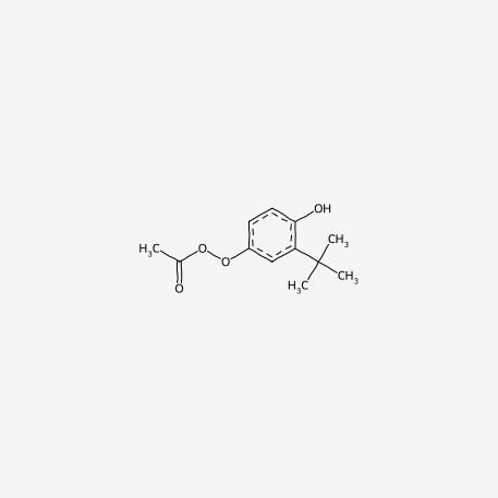 CC(=O)OOc1ccc(O)c(C(C)(C)C)c1